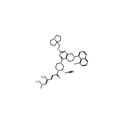 CN(N)/C=C(N)/C=C/C(=O)N1CCN(c2nc(OCC34CCCN3CCC4)nc3c2CCN(c2cccc4cccc(Cl)c24)C3)C[C@@H]1CC#N